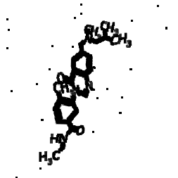 CCNC(=O)c1ccc(C)c(-n2cnc3ccc(CN(C)CC(C)C)cc3c2=O)c1